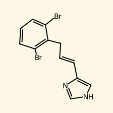 Brc1cccc(Br)c1CC=Cc1c[nH]cn1